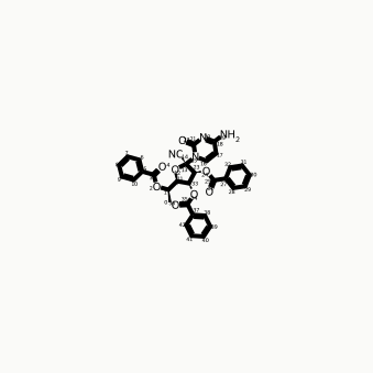 C[C@@H](OC(=O)c1ccccc1)[C@H]1O[C@@](C#N)(n2ccc(N)nc2=O)[C@H](OC(=O)c2ccccc2)[C@@H]1OC(=O)c1ccccc1